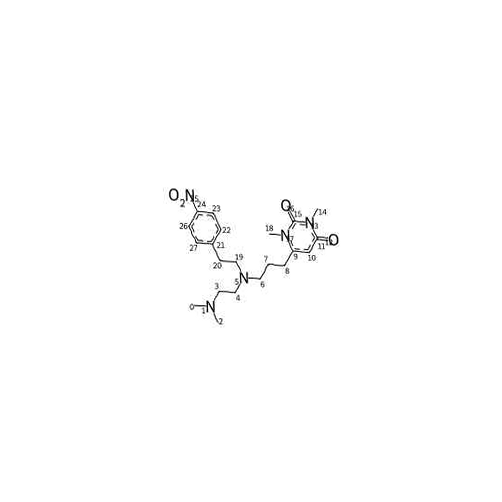 CN(C)CCN(CCCc1cc(=O)n(C)c(=O)n1C)CCc1ccc([N+](=O)[O-])cc1